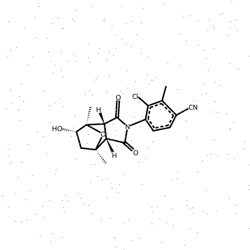 Cc1c(C#N)ccc(N2C(=O)[C@@H]3[C@H](C2=O)[C@@]2(C)C[C@H](O)[C@]3(C)O2)c1Cl